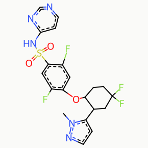 Cn1nccc1C1CC(F)(F)CCC1Oc1cc(F)c(S(=O)(=O)Nc2ccncn2)cc1F